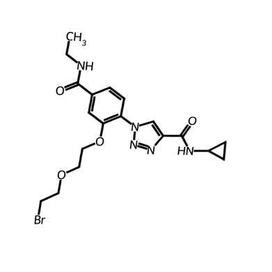 CCNC(=O)c1ccc(-n2cc(C(=O)NC3CC3)nn2)c(OCCOCCBr)c1